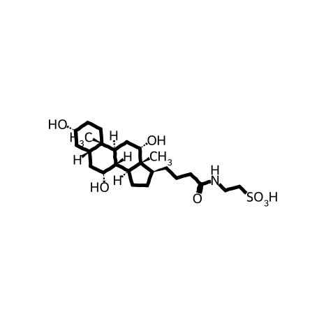 C[C@]12CC[C@@H](O)C[C@H]1C[C@@H](O)[C@@H]1[C@@H]2C[C@H](O)[C@]2(C)[C@@H](CCCC(=O)NCCS(=O)(=O)O)CC[C@@H]12